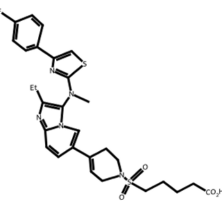 CCc1nc2ccc(C3=CCN(S(=O)(=O)CCCCC(=O)O)CC3)cn2c1N(C)c1nc(-c2ccc(F)cc2)cs1